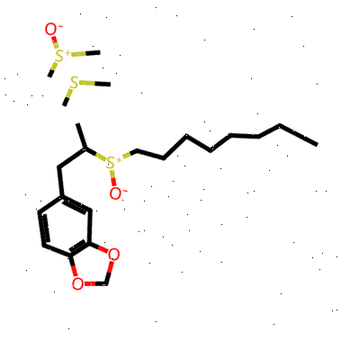 CCCCCCCC[S+]([O-])C(C)Cc1ccc2c(c1)OCO2.CSC.C[S+](C)[O-]